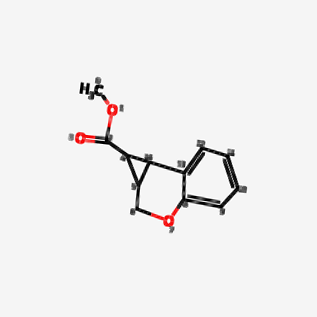 COC(=O)C1C2COc3ccccc3C21